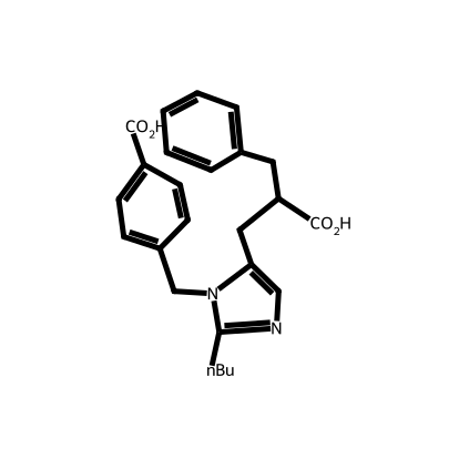 CCCCc1ncc(CC(Cc2ccccc2)C(=O)O)n1Cc1ccc(C(=O)O)cc1